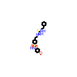 COc1ccc(NS(=O)(=O)c2ccc(CC=NNC(=S)NCCc3ccccc3)cc2)cc1